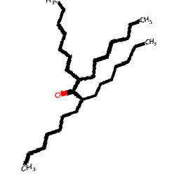 CCCCCCCC(CCCCCCC)C(=O)C(CCCCCCC)CCCCCCC